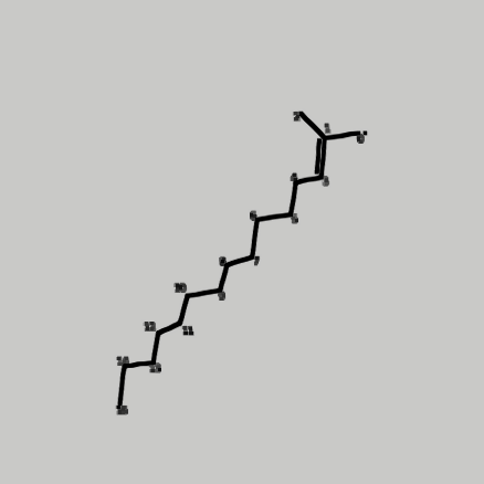 [CH2]C(C)=CCCCCCCCCCCCC